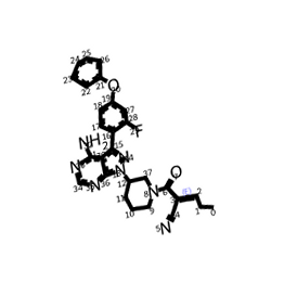 CC/C=C(\C#N)C(=O)N1CCCC(n2nc(-c3ccc(Oc4ccccc4)cc3F)c3c(N)ncnc32)C1